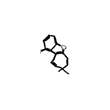 CC1(C)C=Cc2oc3cccc(I)c3c2C=C1